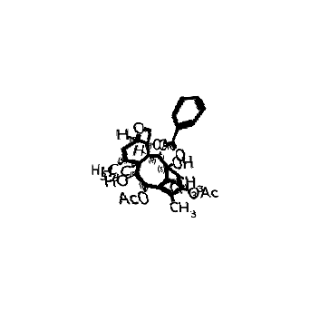 CC(=O)O[C@H]1C[C@@]2(O)[C@@H](OC(=O)c3ccccc3)[C@@H]3[C@]4(OC(C)=O)CO[C@@H]4C[C@H](C)[C@@]3(C)[C@@H](O)[C@H](OC(C)=O)C(=C1C)C2(C)C